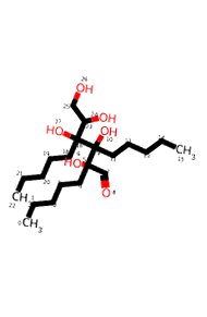 CCCCCC(O)(C=O)C(O)(CCCCC)C(O)(CCCCC)C(O)CO